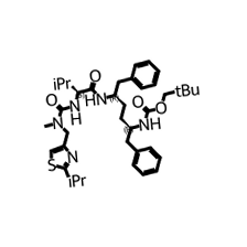 CC(C)c1nc(CN(C)C(=O)N[C@H](C(=O)N[C@H](CC[C@H](Cc2ccccc2)NC(=O)OCC(C)(C)C)Cc2ccccc2)C(C)C)cs1